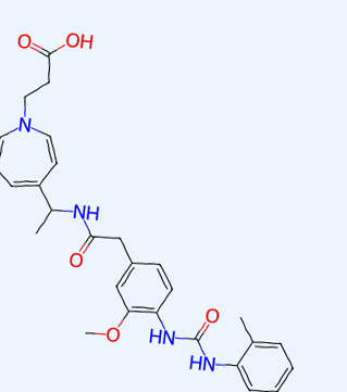 COc1cc(CC(=O)NC(C)C2=CC=CN(CCC(=O)O)C=C2)ccc1NC(=O)Nc1ccccc1C